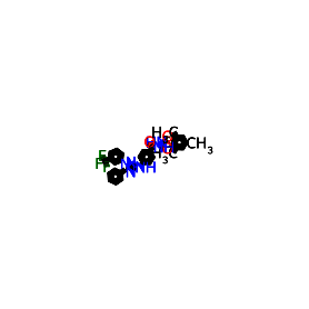 Cc1cc(C)c(S(=O)(=O)NNC(=O)c2ccc(Nc3nc(-c4ccccc4)n(-c4cccc(C(F)(F)F)c4)n3)cc2)c(C)c1